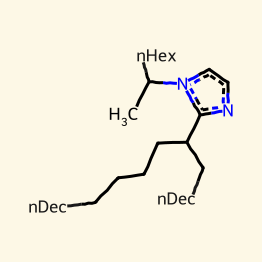 CCCCCCCCCCCCCCC(CCCCCCCCCCC)c1nccn1C(C)CCCCCC